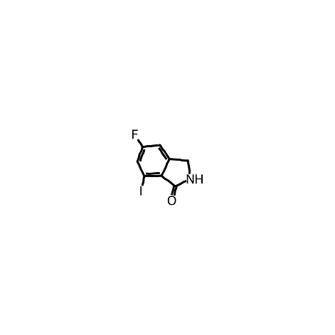 O=C1NCc2cc(F)cc(I)c21